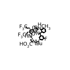 Cc1cccc2c1NC(=O)[C@@H](NC(=O)[C@H](CCC(F)(F)F)[C@H](CCC(F)(F)F)C(=O)NSC[C@H](NC(C)(C)C)C(=O)O)N=C2c1cccc(F)c1